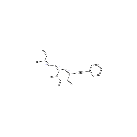 C=CC(=C)C(=C\C=C(\O)C=C)/C=C(/C#Cc1ccccc1)C=C